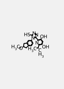 COC1Cc2ccc(-n3c(S)nnc3-c3nc(C(C)C)c(O)cc3O)cc2C1